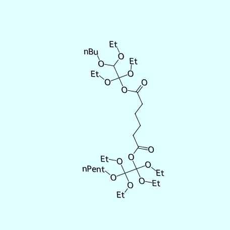 CCCCCOC(OCC)(OCC)C(OCC)(OCC)OC(=O)CCCCC(=O)OC(OCC)(OCC)C(OCC)OCCCC